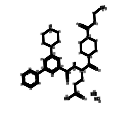 CCOC(=O)N1CCN(C(=O)[C@H](CCC(=O)O)NC(=O)c2cc(N3CCNCC3)nc(-c3ccccc3)n2)CC1.Cl.Cl